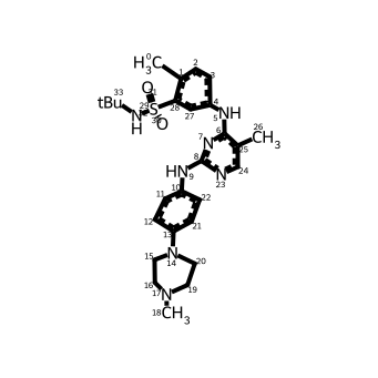 Cc1ccc(Nc2nc(Nc3ccc(N4CCN(C)CC4)cc3)ncc2C)cc1S(=O)(=O)NC(C)(C)C